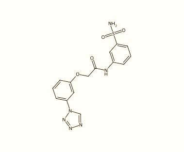 NS(=O)(=O)c1cccc(NC(=O)COc2cccc(-n3cnnn3)c2)c1